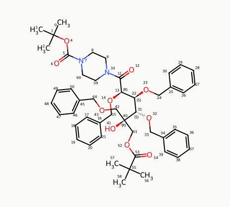 CC(C)(C)OC(=O)N1CCN(C(=O)[C@H](OCc2ccccc2)[C@@H](OCc2ccccc2)[C@H](OCc2ccccc2)[C@@](O)(COCc2ccccc2)COC(=O)C(C)(C)C)CC1